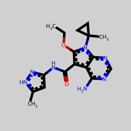 CCOc1c(C(=O)Nc2cc(C)[nH]n2)c2c(N)ncnc2n1C1(C)CC1